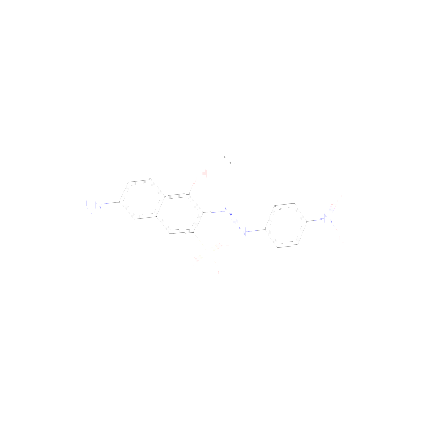 Nc1ccc2c(O)c(N=Nc3ccc([N+](=O)[O-])cc3)c(S(=O)(=O)[O-])cc2c1.[Na+]